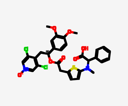 COc1ccc([C@H](Cc2c(Cl)c[n+]([O-])cc2Cl)OC(=O)Cc2ccc(N(C)C(C(=O)O)c3ccccc3)s2)cc1OC